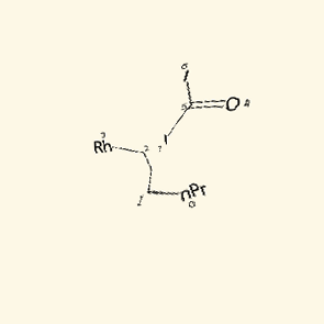 CCCC[CH2][Rh].O=C(I)I